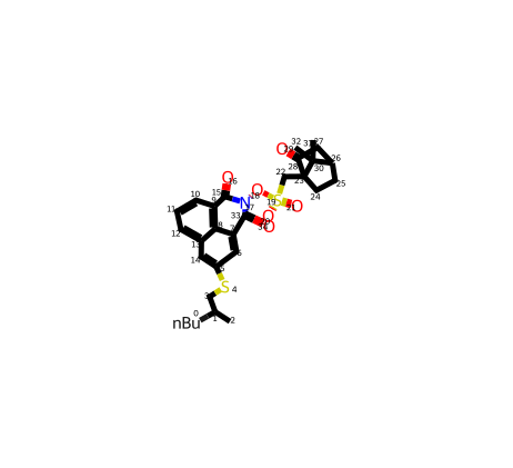 CCCCC(C)CSc1cc2c3c(cccc3c1)C(=O)N(OS(=O)(=O)CC13CCC(CC1=O)C3(C)C)C2=O